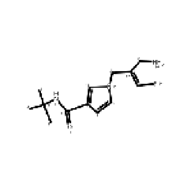 CC(C)(C)NC(=O)c1ccn(CC(=CF)CN)c1